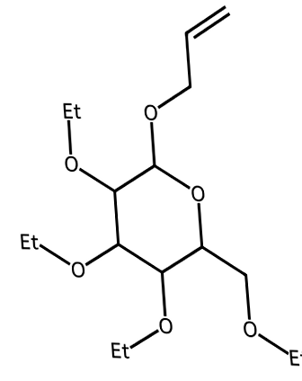 C=CCOC1OC(COCC)C(OCC)C(OCC)C1OCC